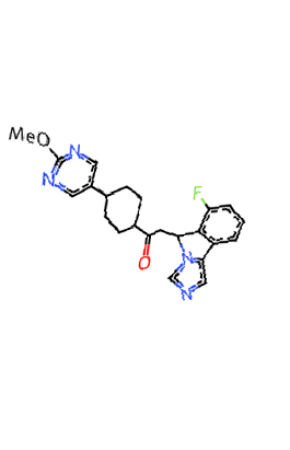 COc1ncc(C2CCC(C(=O)CC3c4c(F)cccc4-c4cncn43)CC2)cn1